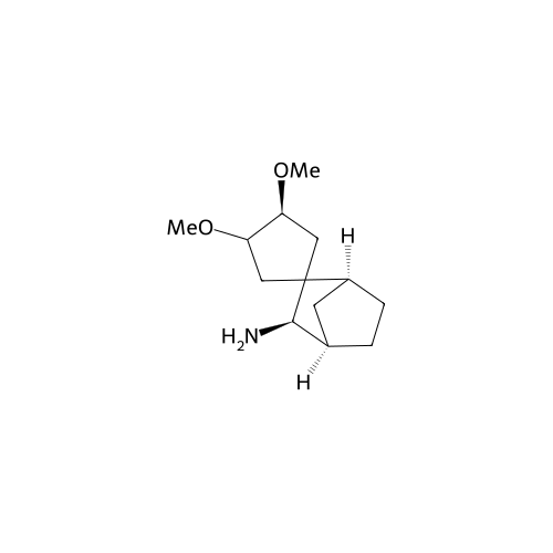 COC1CC2(C[C@@H]1OC)[C@H]1CC[C@H](C1)[C@H]2N